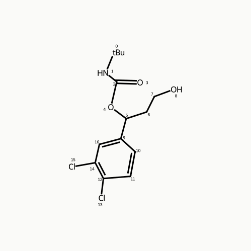 CC(C)(C)NC(=O)OC(CCO)c1ccc(Cl)c(Cl)c1